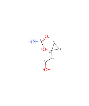 NC(=O)OC1(CCO)CC1